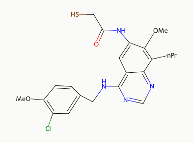 CCCc1c(OC)c(NC(=O)CS)cc2c(NCc3ccc(OC)c(Cl)c3)ncnc12